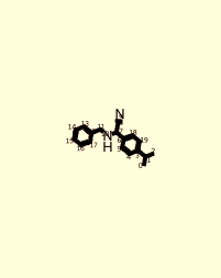 CC(C)c1ccc(C(C#N)NCc2ccccc2)cc1